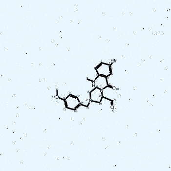 CNc1ccc(Br)cc1C(=O)N1CCN(Cc2ccc(OC)cc2)CC1C=O